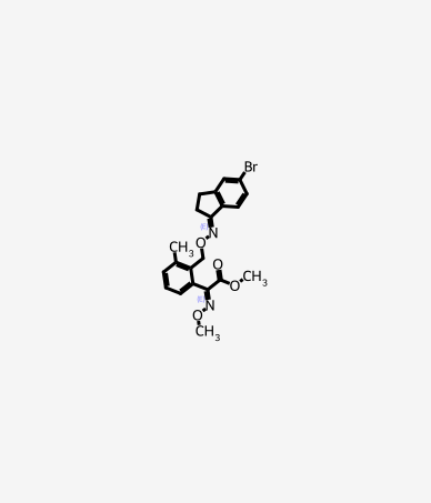 CO/N=C(/C(=O)OC)c1cccc(C)c1CO/N=C1\CCc2cc(Br)ccc21